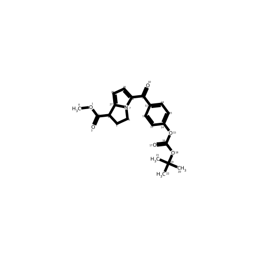 COC(=O)C1CCn2c(C(=O)c3ccc(OC(=O)OC(C)(C)C)cc3)ccc21